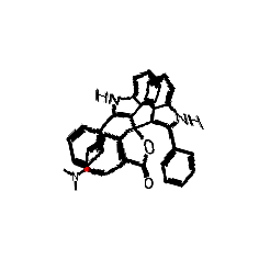 CN(C)c1ccc2c(c1)C(=O)OC2(c1c(-c2ccccc2)[nH]c2ccccc12)c1c(-c2ccccc2)[nH]c2ccccc12